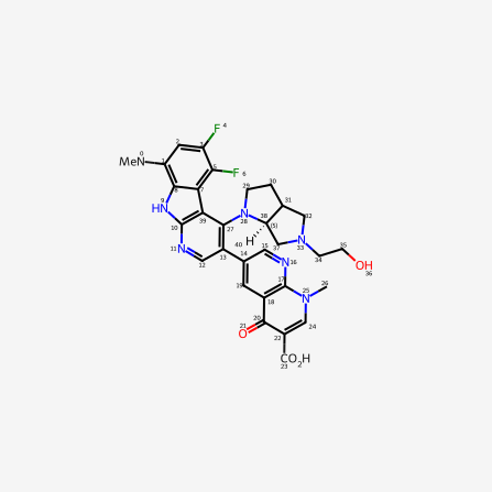 CNc1cc(F)c(F)c2c1[nH]c1ncc(-c3cnc4c(c3)c(=O)c(C(=O)O)cn4C)c(N3CCC4CN(CCO)C[C@H]43)c12